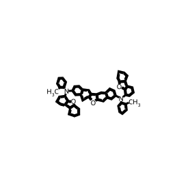 Cc1ccccc1N(c1ccc2cc3c(cc2c1)oc1cc2cc(N(c4ccccc4C)c4cccc5c4oc4ccccc45)ccc2cc13)c1cccc2c1oc1ccccc12